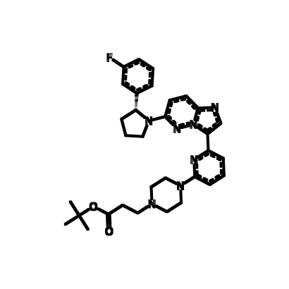 CC(C)(C)OC(=O)CCN1CCN(c2cccc(-c3cnc4ccc(N5CCC[C@@H]5c5cccc(F)c5)nn34)n2)CC1